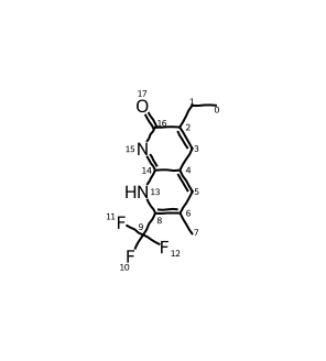 CCc1cc2cc(C)c(C(F)(F)F)[nH]c-2nc1=O